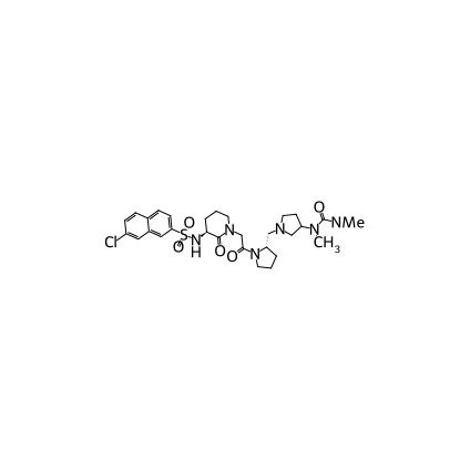 CNC(=O)N(C)C1CCN(C[C@@H]2CCCN2C(=O)CN2CCC[C@H](NS(=O)(=O)c3ccc4ccc(Cl)cc4c3)C2=O)C1